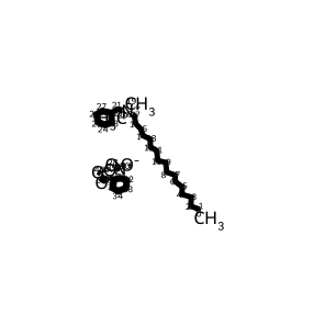 CCCCCCCCCCCCCCCCCC[N+](C)(C)Cc1ccccc1.O=[N+]([O-])c1ccccc1S(=O)(=O)[O-]